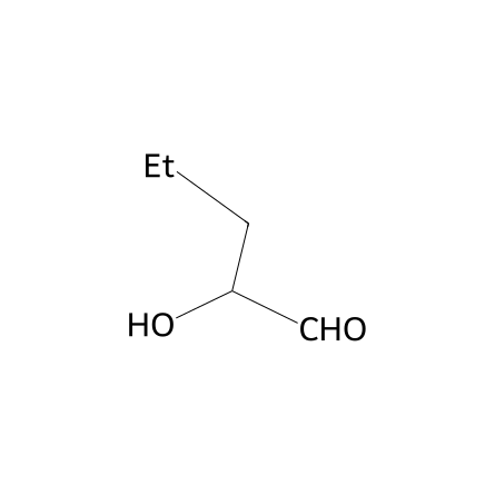 [CH2]CCC(O)C=O